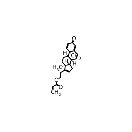 C=CC(=O)OCCC1=CC[C@H]2[C@@H]3CCC4=CC(=O)C=C[C@]4(C)[C@H]3CC[C@]12C